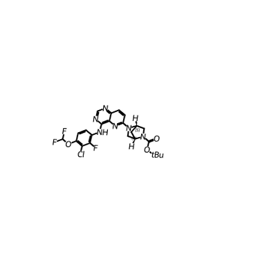 CC(C)(C)OC(=O)N1C[C@@H]2C[C@H]1CN2c1ccc2ncnc(Nc3ccc(OC(F)F)c(Cl)c3F)c2n1